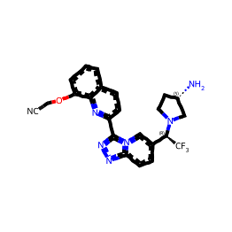 N#CCOc1cccc2ccc(-c3nnc4ccc([C@@H](N5CC[C@H](N)C5)C(F)(F)F)cn34)nc12